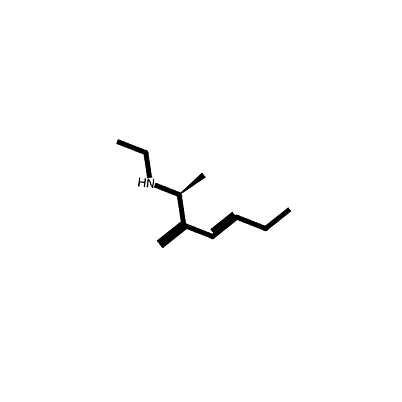 C=C(C=CCC)[C@H](C)NCC